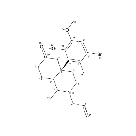 C=CCN1CC[C@@]2(c3c(C)c(Br)cc(OC)c3O)CC(=O)CCC2C1C